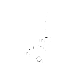 COCCOCCOC(=O)NC(C(=O)NC1Cc2oncc2CCNC(=O)C1=O)C(C)C